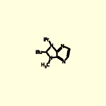 CCC(C)C1N(C)c2nccnc2N1C(C)C